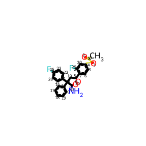 CS(=O)(=O)c1ccc(C(=O)CC(C(N)=O)(c2ccccc2)c2ccc(F)cc2)c(F)c1